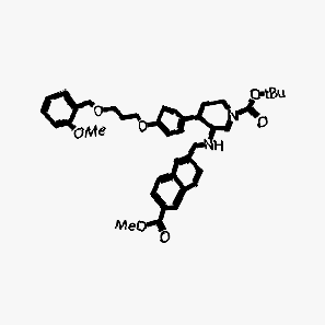 COC(=O)c1ccc2cc(CNC3CN(C(=O)OC(C)(C)C)CCC3c3ccc(OCCCOCc4ccccc4OC)cc3)ccc2c1